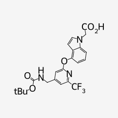 CC(C)(C)OC(=O)NCc1cc(Oc2cccc3c2ccn3CC(=O)O)nc(C(F)(F)F)c1